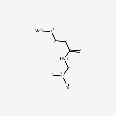 C=C(CCSSC)NCP(C)CC